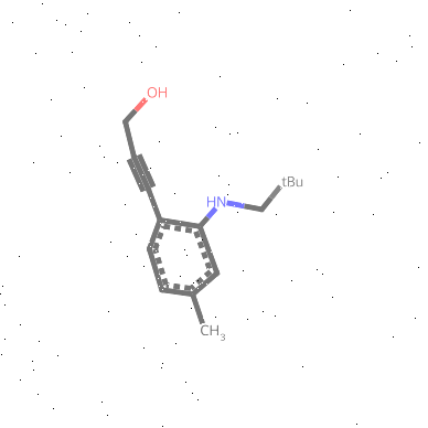 Cc1ccc(C#CCO)c(NCC(C)(C)C)c1